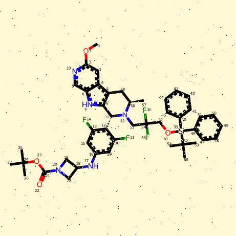 COc1cc2c3c([nH]c2cn1)[C@@H](c1c(F)cc(NC2CN(C(=O)OC(C)(C)C)C2)cc1F)N(CC(F)(F)CO[Si](c1ccccc1)(c1ccccc1)C(C)(C)C)[C@H](C)C3